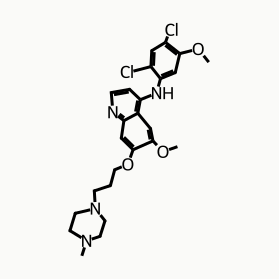 COc1cc(Nc2ccnc3cc(OCCCN4CCN(C)CC4)c(OC)cc23)c(Cl)cc1Cl